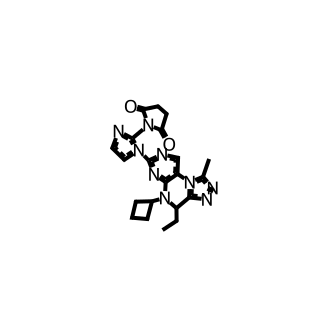 CCC1c2nnc(C)n2-c2cnc(-n3ccnc3N3C(=O)CCC3=O)nc2N1C1CCC1